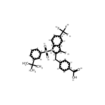 CC(C)(C)c1cccc(S(=O)(=O)n2c(Cc3ccc(C(=O)O)cc3)c(F)c3cc(C(F)(F)F)ccc32)c1